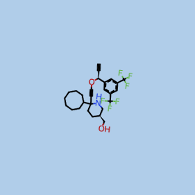 C#C[C@H](OC#CC1(C2CCCCCCC2)CC[C@H](CO)CN1)c1cc(C(F)(F)F)cc(C(F)(F)F)c1